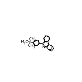 CC(C)(C)c1ccc(-c2nc3c(c4ccccc24)C2CCC3C2)cc1